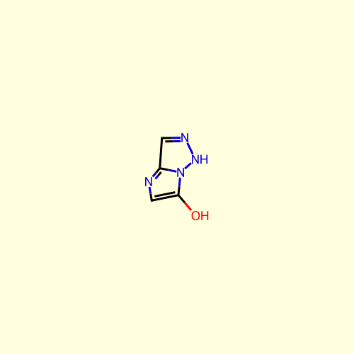 Oc1cnc2cn[nH]n12